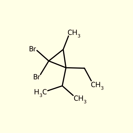 CCC1(C(C)C)C(C)C1(Br)Br